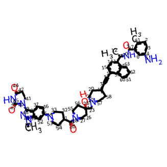 Cc1ccc(N)cc1C(=O)N[C@H](C)c1ccc(C#CC2CCN(CC3(O)CCN(C(=O)C4CCN(c5ccc6c(N7CCC(=O)NC7=O)nn(C)c6c5)CC4)CC3)CC2)c2ccccc12